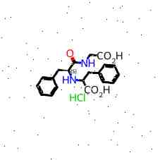 Cl.O=C(O)CNC(=O)[C@H](Cc1ccccc1)NC(Cc1ccccc1)C(=O)O